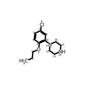 CCCOc1ccc(Cl)cc1N1CCNCC1